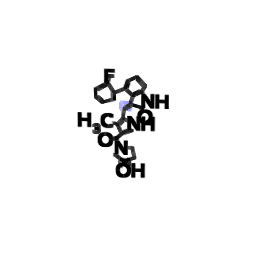 Cc1c(C(=O)N2CC[C@@H](O)C2)c[nH]c1/C=C1\C(=O)Nc2cccc(-c3ccccc3F)c21